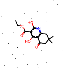 CCOC(=O)c1c(O)nc2c(c1O)C(=O)CC(C)(C)C2